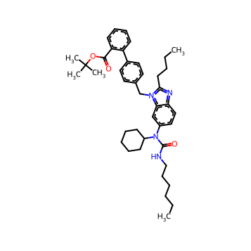 CCCCCCNC(=O)N(c1ccc2nc(CCCC)n(Cc3ccc(-c4ccccc4C(=O)OC(C)(C)C)cc3)c2c1)C1CCCCC1